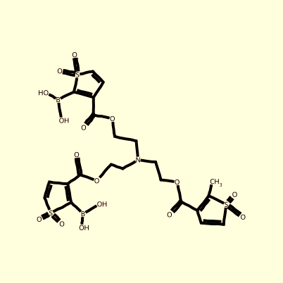 CC1=C(C(=O)OCCN(CCOC(=O)C2=C(B(O)O)S(=O)(=O)C=C2)CCOC(=O)C2=C(B(O)O)S(=O)(=O)C=C2)C=CS1(=O)=O